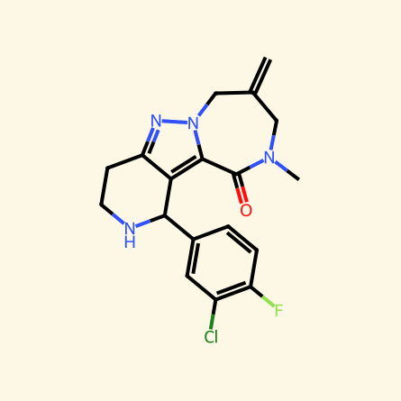 C=C1CN(C)C(=O)c2c3c(nn2C1)CCNC3c1ccc(F)c(Cl)c1